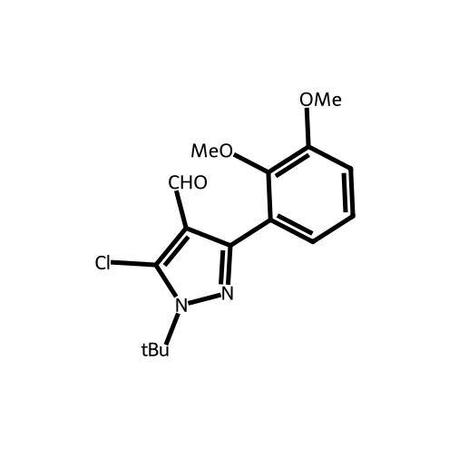 COc1cccc(-c2nn(C(C)(C)C)c(Cl)c2C=O)c1OC